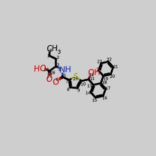 CCCC(NC(=O)c1ccc(C(O)c2ccccc2-c2ccccc2)s1)C(=O)O